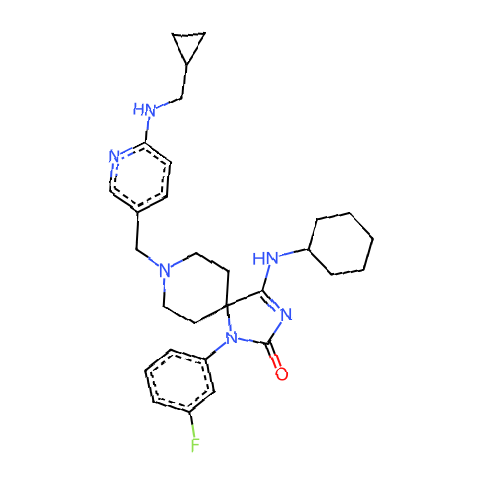 O=C1N=C(NC2CCCCC2)C2(CCN(Cc3ccc(NCC4CC4)nc3)CC2)N1c1cccc(F)c1